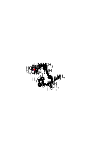 C=C1Cc2ccccc2N(C(=O)CCC(=O)N[C@H](C(=O)N[C@@H](CCCNC(N)=O)C(=O)Nc2ccc(COC(=O)Nc3ccc4c(C(C)(C)C(NC)C(=O)N[C@H](C(=O)N(C)[C@H](/C=C(\C)C(=O)O)C(C)C)C(C)(C)C)cn(C)c4c3)cc2)C(C)C)Cc2ccccc21